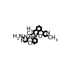 Cc1ccc(-c2cccc3cc([C@H](C)Nc4nc(N)ncc4C#N)n(-c4ccccc4)c(=O)c23)cn1